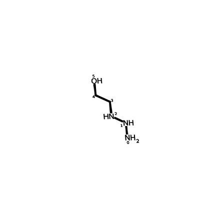 NNNCCO